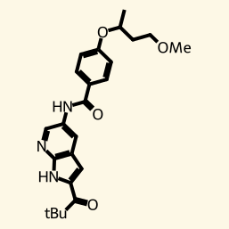 COCCC(C)Oc1ccc(C(=O)Nc2cnc3[nH]c(C(=O)C(C)(C)C)cc3c2)cc1